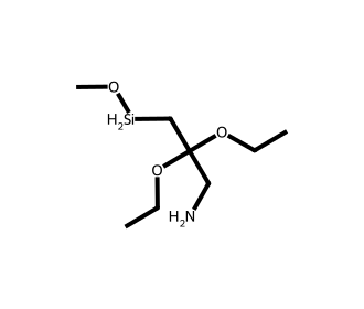 CCOC(CN)(C[SiH2]OC)OCC